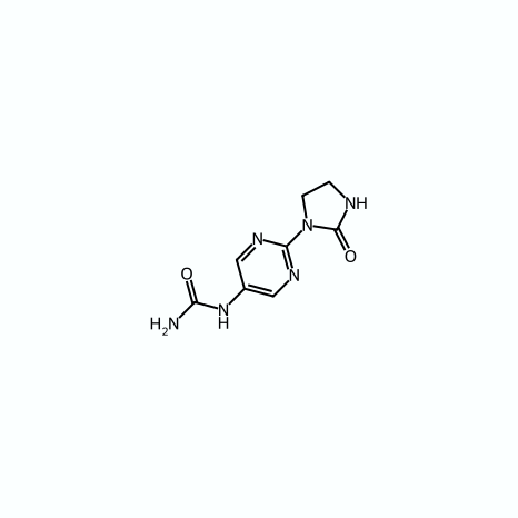 NC(=O)Nc1cnc(N2CCNC2=O)nc1